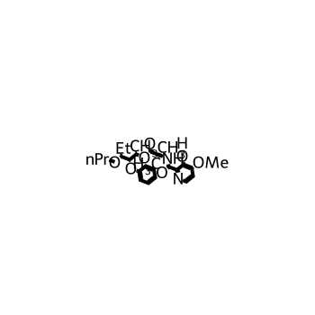 CCCO[C@@H](CC)[C@@H](Oc1ccccc1)[C@H](C)OC(=O)C(C)(C)NC(=O)c1nccc(OC)c1O